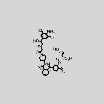 CCOc1ccc(C2=NN(C3CCN(C(=O)CNCC(O)c4cc(Cl)c(N)c(Cl)c4)CC3)C(=O)[C@@H]3CC=CC[C@H]23)cc1OCC.O=C(O)/C=C/C(=O)O